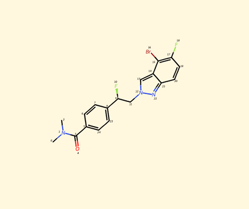 CN(C)C(=O)c1ccc([C@@H](F)Cn2cc3c(Br)c(F)ccc3n2)cc1